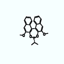 COc1cc2ccccc2c2c1op(C(C)C)oc1c(OC)cc3ccccc3c12